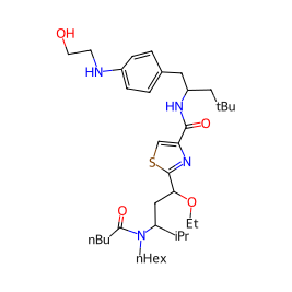 CCCCCCN(C(=O)CCCC)C(CC(OCC)c1nc(C(=O)NC(Cc2ccc(NCCO)cc2)CC(C)(C)C)cs1)C(C)C